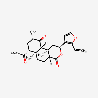 C=Cc1occc1[C@@H]1C[C@]2(C)[C@H]3C(=O)[C@@H](OC(C)=O)C[C@@H](C(=O)OC)[C@]3(C)CC[C@H]2C(=O)O1